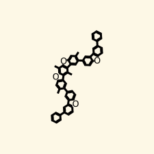 Cc1cc2oc3c(C)c4oc5cc(C)c(-c6ccc7oc8ccc(-c9ccccc9)cc8c7c6)cc5c4c(C)c3c2cc1-c1ccc2oc3ccc(-c4ccccc4)cc3c2c1